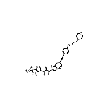 CC(C)(C)c1cc(NC(=O)Nc2cn3ncc(C#Cc4ccc(OCCCN5CCOCC5)cc4)cc3n2)no1